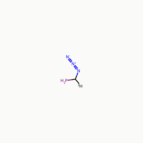 [3H]C(P)N=[N+]=[N-]